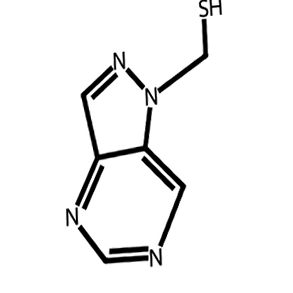 SCn1ncc2ncncc21